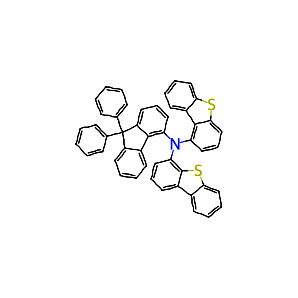 c1ccc(C2(c3ccccc3)c3ccccc3-c3c(N(c4cccc5c4sc4ccccc45)c4cccc5sc6ccccc6c45)cccc32)cc1